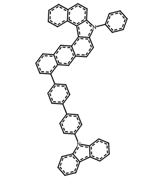 c1ccc(-n2c3ccc4ccccc4c3c3c4cc5cccc(-c6ccc(-c7ccc(-n8c9ccccc9c9ccccc98)cc7)cc6)c5cc4ccc32)cc1